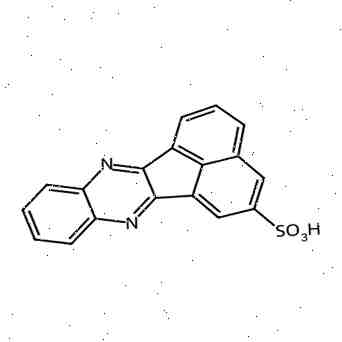 O=S(=O)(O)c1cc2c3c(cccc3c1)-c1nc3ccccc3nc1-2